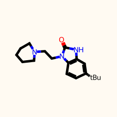 CC(C)(C)c1ccc2c(c1)[nH]c(=O)n2CCN1CCCCC1